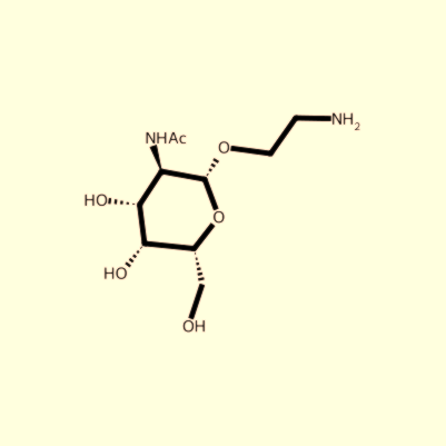 CC(=O)N[C@H]1[C@H](OCCN)O[C@H](CO)[C@H](O)[C@@H]1O